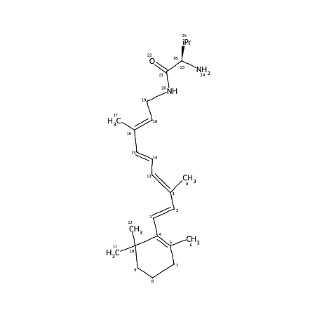 CC(C=CC1=C(C)CCCC1(C)C)=CC=CC(C)=CCNC(=O)[C@H](N)C(C)C